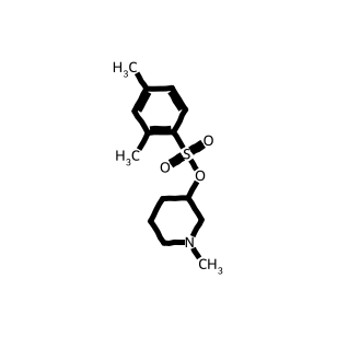 Cc1ccc(S(=O)(=O)OC2CCCN(C)C2)c(C)c1